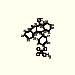 CS(=O)(=O)Oc1ccc(-c2c3ccccc3c(C(F)(F)F)c3sc4ccccc4c23)cc1